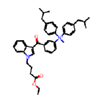 CCOC(=O)CCCn1cc(C(=O)c2cccc([N+](C)(c3ccc(CC(C)C)cc3)c3ccc(CC(C)C)cc3)c2)c2ccccc21